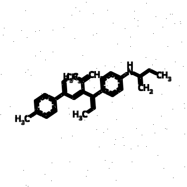 C=C(CC)Nc1ccc(C(=C/C)/C(=C/C(=C\C)c2ccc(C)cc2)C(=C)C)cc1